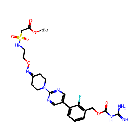 CC(C)(C)OC(=O)CS(=O)(=O)NCCON=C1CCN(c2ncc(-c3cccc(COC(=O)NC(=N)N)c3F)cn2)CC1